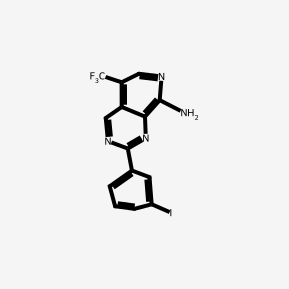 Nc1ncc(C(F)(F)F)c2cnc(-c3cccc(I)c3)nc12